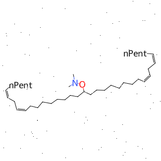 CCCCC/C=C\C/C=C\CCCCCCCCC(CCCCCCCC/C=C\C/C=C\CCCCC)ON(C)C